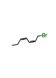 CC/C=C\C=C/CBr